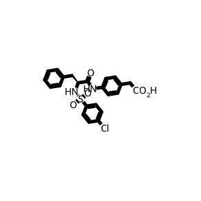 O=C(O)Cc1ccc(NC(=O)[C@H](Cc2ccccc2)NS(=O)(=O)c2ccc(Cl)cc2)cc1